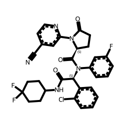 N#Cc1ccnc(N2C(=O)CC[C@H]2C(=O)N(c2cccc(F)c2)[C@H](C(=O)NC2CCC(F)(F)CC2)c2ccccc2Cl)c1